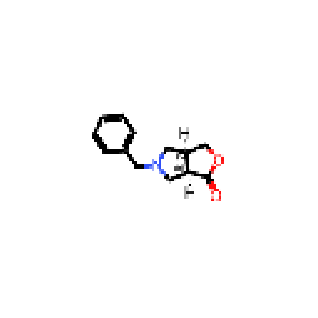 O=C1OC[C@@H]2CN(Cc3ccccc3)C[C@H]12